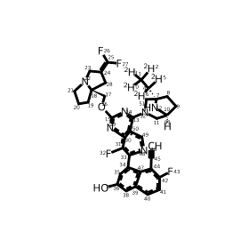 [2H]C([2H])([2H])C([2H])([2H])[C@@]12CC[C@@H](CN(c3nc(OC[C@@]45CCCN4CC(=C(F)F)C5)nc4c(F)c(-c5cc(O)cc6ccc(F)c(C#C)c56)ncc34)C1)N2